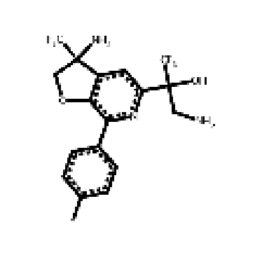 NCC(O)(c1cc2c(c(-c3ccc(F)cc3)n1)OC[C@@]2(N)C(F)(F)F)C(F)(F)F